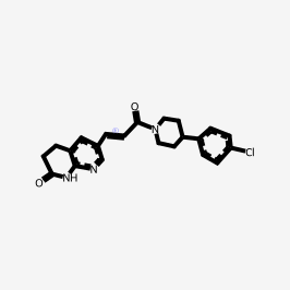 O=C1CCc2cc(/C=C/C(=O)N3CCC(c4ccc(Cl)cc4)CC3)cnc2N1